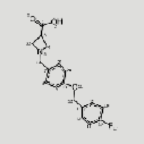 O=C(O)C1CN(Cc2ccc(OCc3ccc(F)cc3)cc2)C1